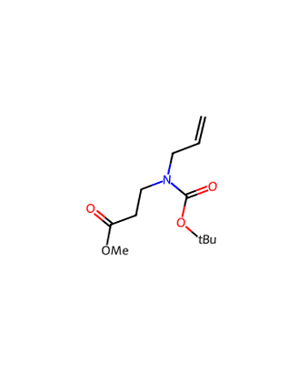 C=CCN(CCC(=O)OC)C(=O)OC(C)(C)C